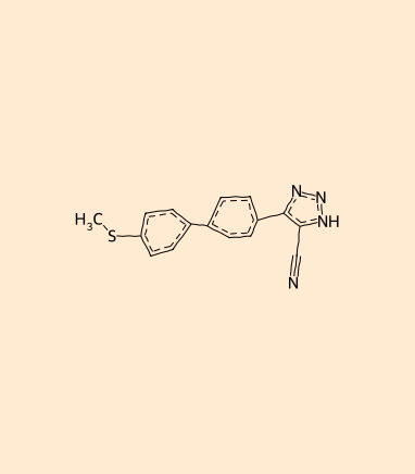 CSc1ccc(-c2ccc(-c3nn[nH]c3C#N)cc2)cc1